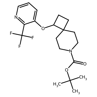 CC(C)(C)OC(=O)N1CCC2(CCC2Oc2cccnc2C(F)(F)F)CC1